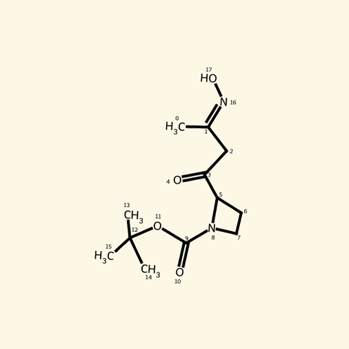 C/C(CC(=O)C1CCN1C(=O)OC(C)(C)C)=N\O